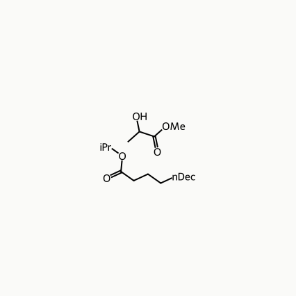 CCCCCCCCCCCCCC(=O)OC(C)C.COC(=O)C(C)O